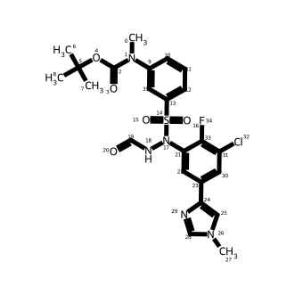 CN(C(=O)OC(C)(C)C)c1cccc(S(=O)(=O)N(NC=O)c2cc(-c3cn(C)cn3)cc(Cl)c2F)c1